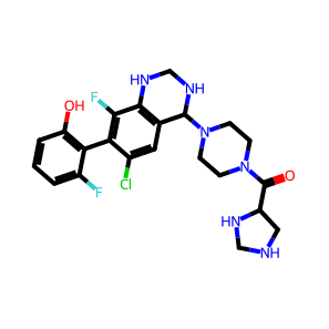 O=C(C1CNCN1)N1CCN(C2NCNc3c2cc(Cl)c(-c2c(O)cccc2F)c3F)CC1